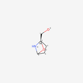 [O]C[C@]12CCC(N1)O2